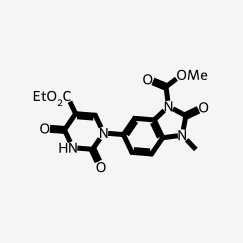 CCOC(=O)c1cn(-c2ccc3c(c2)n(C(=O)OC)c(=O)n3C)c(=O)[nH]c1=O